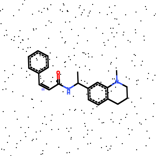 CC(NC(=O)/C=C\c1ccccc1)c1ccc2c(c1)N(C)CCC2